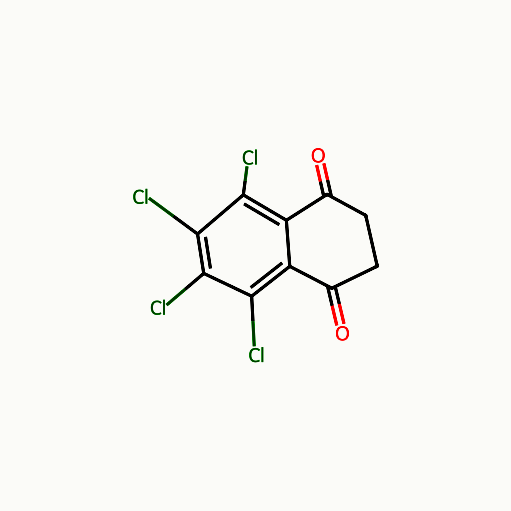 O=C1CCC(=O)c2c(Cl)c(Cl)c(Cl)c(Cl)c21